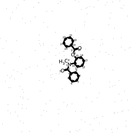 CN(C(=O)c1ccccc1)c1ccccc1OC(=O)c1ccccc1